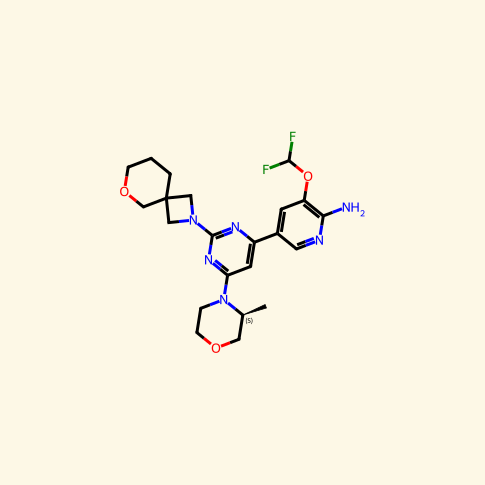 C[C@H]1COCCN1c1cc(-c2cnc(N)c(OC(F)F)c2)nc(N2CC3(CCCOC3)C2)n1